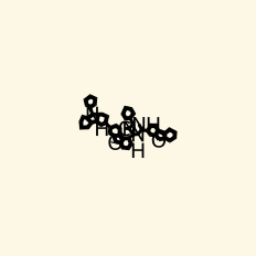 CN1C(c2ccccc2)NC(c2ccc3c(c2)oc2ccccc23)NC1c1cccc2oc3cc(-c4ccc5c(c4)c4ccccc4n5-c4ccccc4)ccc3c12